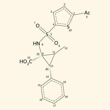 CC(=O)c1ccc(S(=O)(=O)N[C@@]2(C(=O)O)C(C)[C@@H]2c2ccccc2)s1